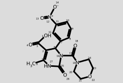 CC1=C(C(=O)O)C(c2cccc([N+](=O)[O-])c2)N(C(=O)N2CCOCC2)C(=O)N1